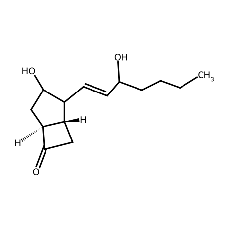 CCCCC(O)C=CC1C(O)C[C@@H]2C(=O)C[C@@H]12